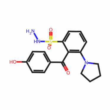 NNS(=O)(=O)c1cccc(N2CCCC2)c1C(=O)c1ccc(O)cc1